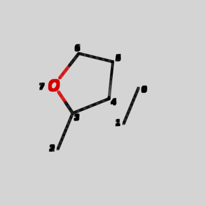 CC.CC1CCCO1